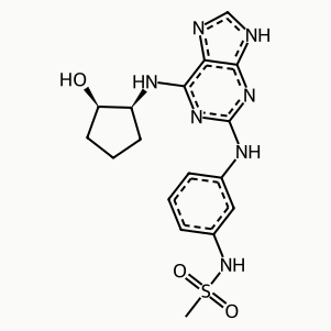 CS(=O)(=O)Nc1cccc(Nc2nc(N[C@H]3CCC[C@H]3O)c3nc[nH]c3n2)c1